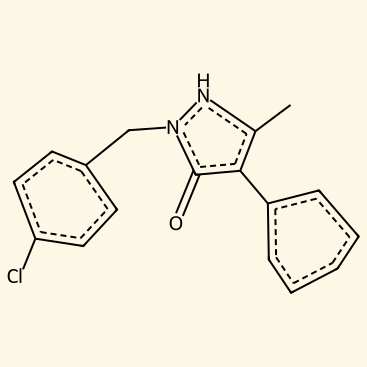 Cc1[nH]n(Cc2ccc(Cl)cc2)c(=O)c1-c1ccccc1